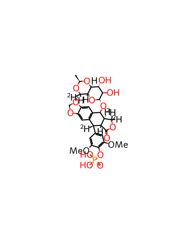 [2H]C1([2H])OC(=O)[C@H]2[C@H]1[C@H](O[C@@H]1O[C@H]3[C@@H](O[C@H](C)OC3([2H])[2H])[C@H](O)[C@H]1O)c1cc3c(cc1[C@@]2([2H])c1cc(OC)c(OP(=O)(O)O)c(OC)c1)OCO3